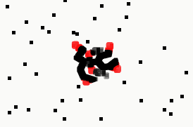 CO[Si](OC)(C(CC=O)CC1CO1)C(CC=O)CC1CO1